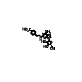 Nc1nc(NCCc2ccc(C(=O)O)cc2)nc2c1ncn2[C@@H]1O[C@H](CO)C(O)C1O